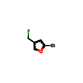 CCc1cc(CF)co1